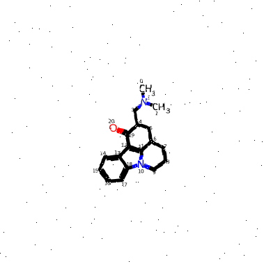 CN(C)CC1CC2CCCn3c2c(c2ccccc23)C1=O